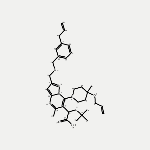 C=CCOC1(C)CCN(c2c(C(OC(C)(C)C)C(=O)O)c(C)nc3cc(COCc4cccc(CC=C)c4)nn23)CC1